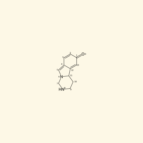 O=C1C=CC2=CN3CNCCC3C2=C1